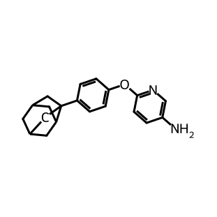 Nc1ccc(Oc2ccc(C34CC5CC(CC3C5)C4)cc2)nc1